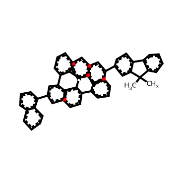 CC1(C)c2ccccc2-c2ccc(-c3ccc(N(c4ccccc4-c4cccc(-c5cccc6ccccc56)c4)c4ccccc4-c4ccccc4-c4ccccc4)cc3)cc21